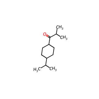 CC(C)C(=O)C1CCC(C(C)C)CC1